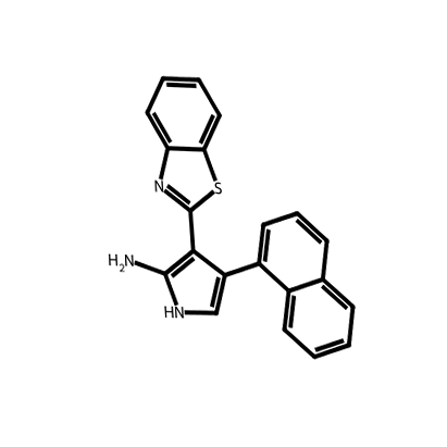 Nc1[nH]cc(-c2cccc3ccccc23)c1-c1nc2ccccc2s1